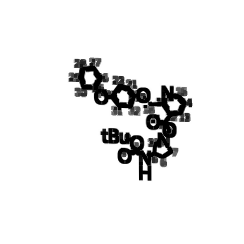 CC(C)(C)OC(=O)NC1CCN(OC(=O)c2cccnc2COc2ccc(Oc3ccccc3)cc2)C1